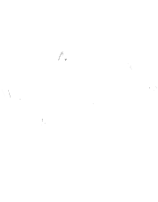 COc1cc(C2C=NC(N)=C2C#N)cc(Br)c1OC